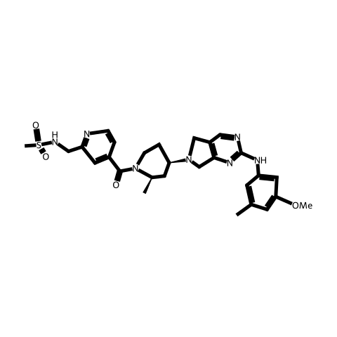 COc1cc(C)cc(Nc2ncc3c(n2)CN([C@@H]2CCN(C(=O)c4ccnc(CNS(C)(=O)=O)c4)[C@H](C)C2)C3)c1